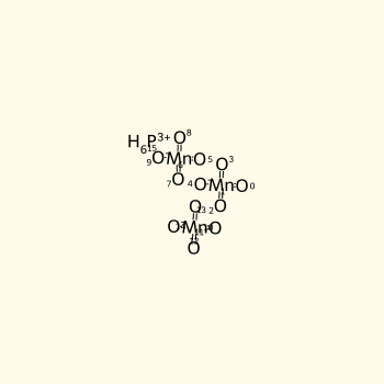 [O]=[Mn](=[O])(=[O])[O-].[O]=[Mn](=[O])(=[O])[O-].[O]=[Mn](=[O])(=[O])[O-].[PH6+3]